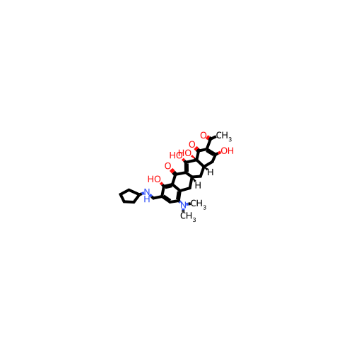 CC(=O)C1=C(O)C[C@@H]2C[C@@H]3Cc4c(N(C)C)cc(CNC5CCCC5)c(O)c4C(=O)C3=C(O)[C@]2(O)C1=O